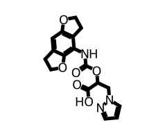 O=C(Nc1c2c(cc3c1OCC3)OCC2)OC(Cn1cccn1)C(=O)O